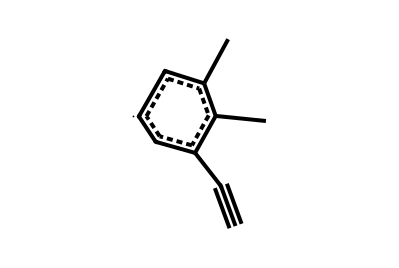 C#Cc1c[c]cc(C)c1C